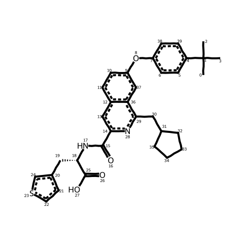 CC(C)(C)c1ccc(Oc2ccc3cc(C(=O)N[C@@H](Cc4ccsc4)C(=O)O)nc(CC4CCCC4)c3c2)cc1